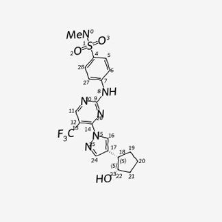 CNS(=O)(=O)c1ccc(Nc2ncc(C(F)(F)F)c(-n3cc([C@@H]4CCC[C@@H]4O)cn3)n2)cc1